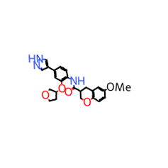 COc1ccc2c(c1)CC(C(=O)Nc1ccc(-c3cn[nH]c3)cc1O[C@H]1CCOC1)CO2